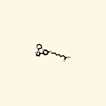 O=C(O)CCCCCCOc1ccc(-c2ccnn2C2CCCCO2)nc1